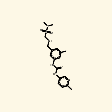 Cc1ccc(NC(=O)Nc2cc(F)cc(CNCS(=O)(=O)N(C)C)c2)cn1